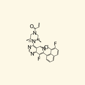 C=CC(=O)N1C[C@@H](C)N(c2ncnc3c(F)c(-c4cccc5ccc(F)c(Cl)c45)ncc23)[C@@H](C)C1